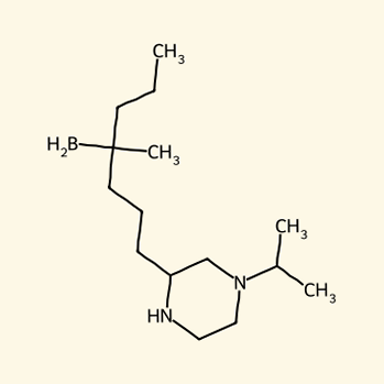 BC(C)(CCC)CCCC1CN(C(C)C)CCN1